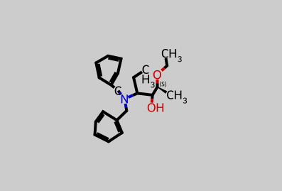 CCO[C@@H](C)C(O)C(CC)N(Cc1ccccc1)Cc1ccccc1